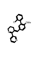 COc1ccc(C=C2CCCN=C2c2cccnc2)cc1-c1ccccc1Cl